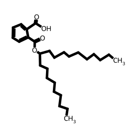 CCCCCCCCCCC(CCCCCCCCC)OC(=O)c1ccccc1C(=O)O